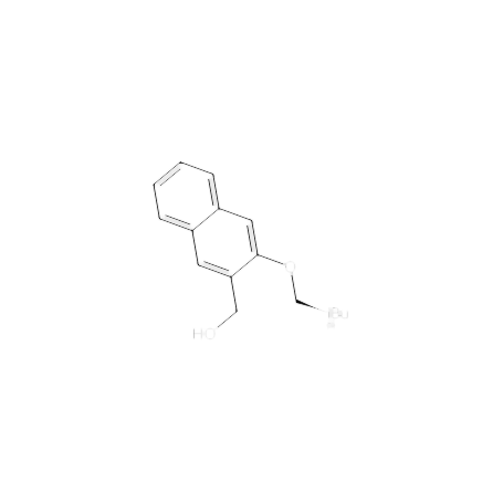 CC[C@H](C)COc1cc2ccccc2cc1CO